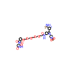 CS(=O)(=O)N1CCC(n2cc(-c3cccc(C(N)=S)c3)c3ccc(NC(=O)CCOCCOCCOCCOCCOc4cccc5c4C(=O)N(C4CCC(=O)NC4=O)C5=O)cc32)CC1